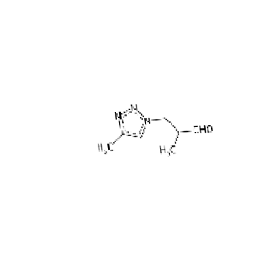 Cc1cn(CC(C)C=O)nn1